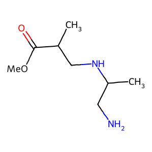 COC(=O)C(C)CNC(C)CN